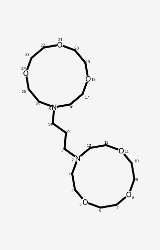 C(CN1CCOCCOCCOCC1)CN1CCOCCOCCOCC1